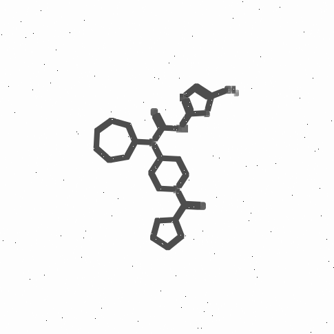 Cc1cnc(NC(=O)N(C2CCCCCC2)C2CCN(C(=O)C3CCCC3)CC2)s1